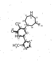 Cc1ncsc1-c1nc(N2CCNCC(F)C2)c(Cl)c(=O)[nH]1